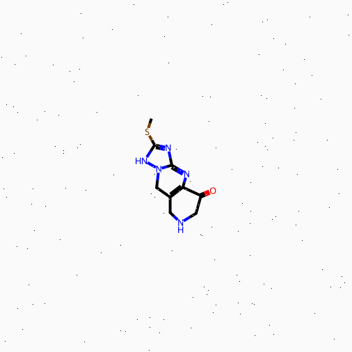 CSC1=NC2=NC3=C(CNCC3=O)CN2N1